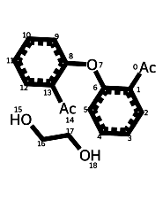 CC(=O)c1ccccc1Oc1ccccc1C(C)=O.OCCO